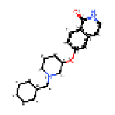 O=c1[nH]ccc2cc(OC3CCCN(CC4CCCCC4)C3)ccc12